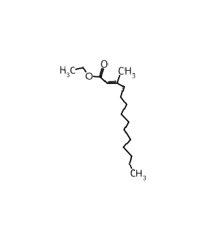 CCCCCCCCCCCC(C)=CC(=O)OCC